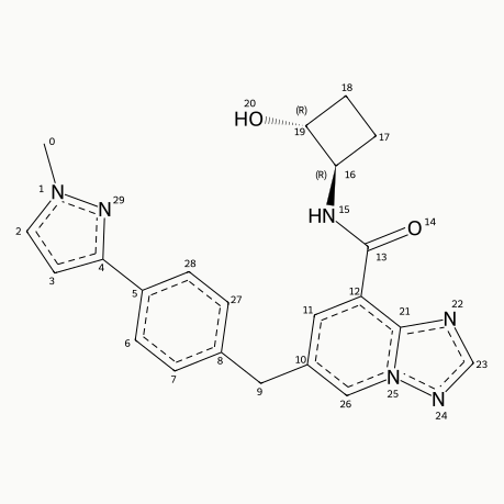 Cn1ccc(-c2ccc(Cc3cc(C(=O)N[C@@H]4CC[C@H]4O)c4ncnn4c3)cc2)n1